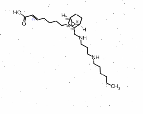 CCCCCCNCCCNC[C@H]1[C@@H](CCCC/C=C/C(=O)O)[C@H]2CC[C@@H]1O2